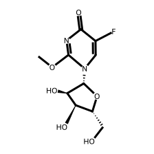 COc1nc(=O)c(F)cn1[C@@H]1O[C@H](CO)[C@@H](O)[C@H]1O